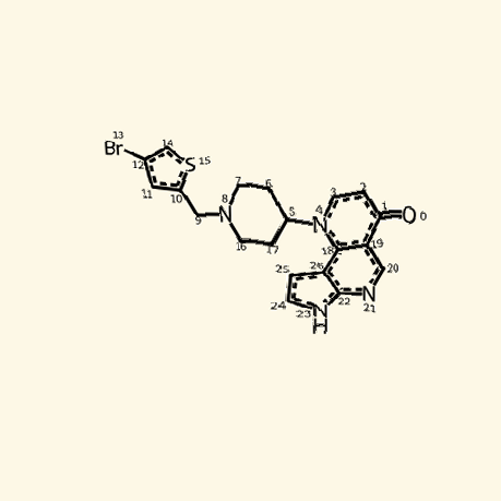 O=c1ccn(C2CCN(Cc3cc(Br)cs3)CC2)c2c1cnc1[nH]ccc12